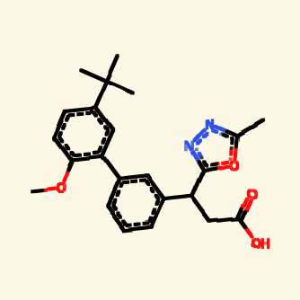 COc1ccc(C(C)(C)C)cc1-c1cccc(C(CC(=O)O)c2nnc(C)o2)c1